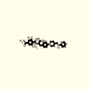 Cc1cc(C(N)=O)cc(C)c1C(=O)NC(Cc1ccc(N2CCC(CNc3ccccn3)CC2)cc1)C(=O)O